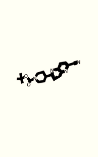 CC(C)(C)OC(=O)N1CCC(c2ccc3nc(C#N)ccc3n2)CC1